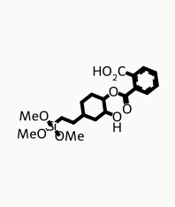 CO[Si](CCC1CCC(OC(=O)c2ccccc2C(=O)O)C(O)C1)(OC)OC